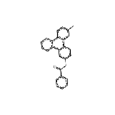 Cc1ccc2c3ccccc3c3cc(CC(=O)c4ccccc4)ccc3c2c1